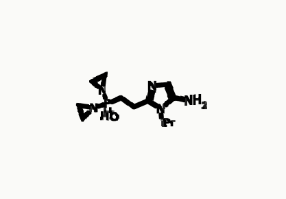 CC(C)n1c(N)cnc1CC[PH](O)(N1CC1)N1CC1